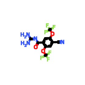 N#Cc1cc(OC(F)(F)F)c(C(=O)N=C(N)N)cc1OC(F)(F)F